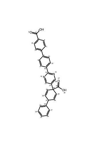 O=C(O)c1ccc(-c2ccc(-c3ncc(C4(C(=O)O)C=CC(c5ccccc5)C=C4)cn3)cc2)cc1